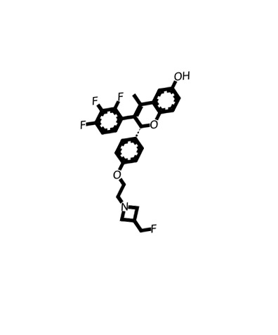 CC1=C(c2ccc(F)c(F)c2F)[C@@H](c2ccc(OCCN3CC(CF)C3)cc2)Oc2ccc(O)cc21